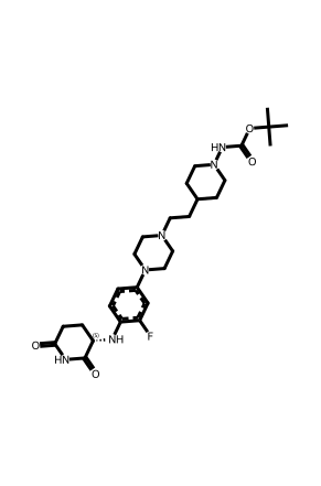 CC(C)(C)OC(=O)NN1CCC(CCN2CCN(c3ccc(N[C@H]4CCC(=O)NC4=O)c(F)c3)CC2)CC1